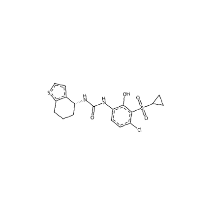 O=C(Nc1ccc(Cl)c(S(=O)(=O)C2CC2)c1O)N[C@@H]1CCCc2sccc21